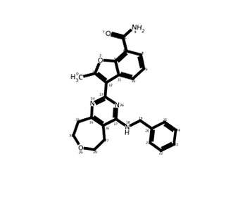 Cc1oc2c(C(N)=O)cccc2c1-c1nc2c(c(NCc3ccccc3)n1)CCOCC2